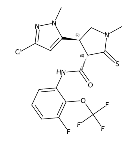 CN1C[C@H](c2cc(Cl)nn2C)[C@@H](C(=O)Nc2cccc(F)c2OC(F)(F)F)C1=S